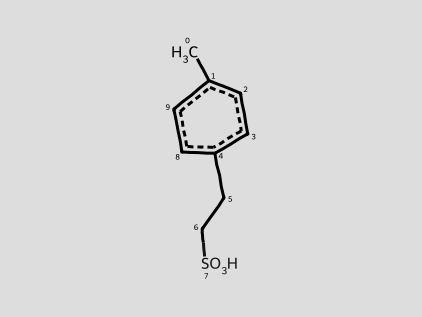 Cc1ccc(CCS(=O)(=O)O)cc1